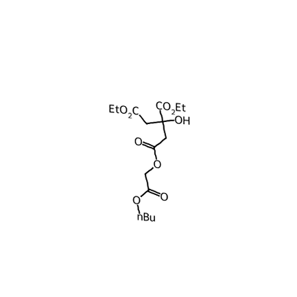 CCCCOC(=O)COC(=O)CC(O)(CC(=O)OCC)C(=O)OCC